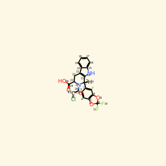 [2H]C1(c2ccc3c(c2)OC(F)(F)O3)c2[nH]c3ccccc3c2CC(C(=O)O)N1C(=O)[13CH2]Cl